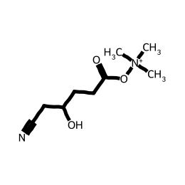 C[N+](C)(C)OC(=O)CCC(O)CC#N